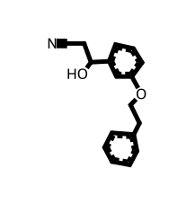 N#CCC(O)c1cccc(OCCc2ccccc2)c1